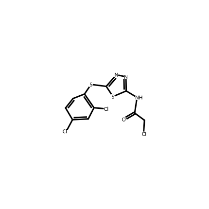 O=C(CCl)Nc1nnc(Sc2ccc(Cl)cc2Cl)s1